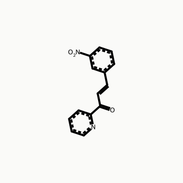 O=C(C=Cc1cccc([N+](=O)[O-])c1)c1ccccn1